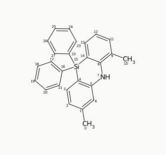 Cc1ccc2c(c1)Nc1c(C)cccc1[Si]2(c1ccccc1)c1ccccc1